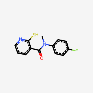 CN(C(=O)c1cccnc1S)c1ccc(F)cc1